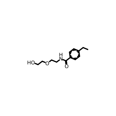 CCc1ccc(C(=O)NCCOCCO)cc1